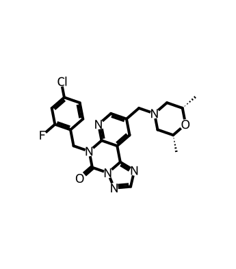 C[C@@H]1CN(Cc2cnc3c(c2)c2ncnn2c(=O)n3Cc2ccc(Cl)cc2F)C[C@H](C)O1